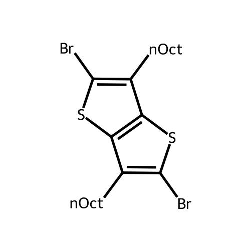 CCCCCCCCc1c(Br)sc2c(CCCCCCCC)c(Br)sc12